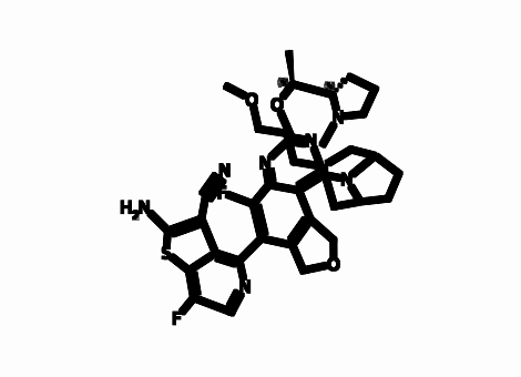 COCCCN1CC2CCC(C1)N2c1nc(O[C@@H](C)[C@@H]2CCCN2C)nc2c(F)c(-c3ncc(F)c4sc(N)c(C#N)c34)c3c(c12)COC3